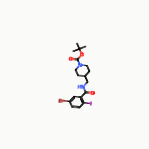 CC(C)(C)OC(=O)N1CCC(CNC(=O)c2cc(Br)ccc2I)CC1